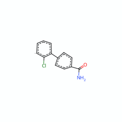 NC(=O)c1ccc(-c2ccc[c]c2Cl)cc1